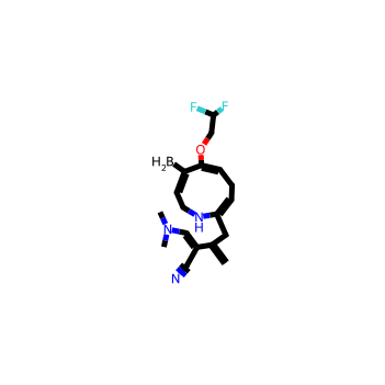 BC1=C/CN/C(CC(=C)/C(C#N)=C/N(C)C)=C\C/C=C\1OCC(F)F